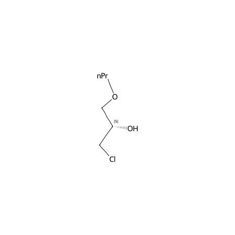 CCCOC[C@H](O)CCl